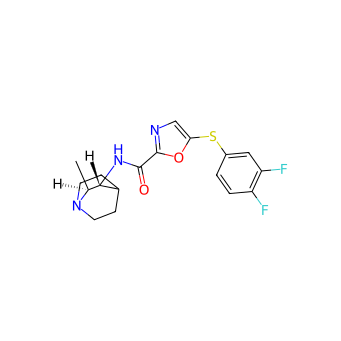 C[C@H]1[C@H](NC(=O)c2ncc(Sc3ccc(F)c(F)c3)o2)C2CCN1CC2